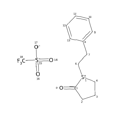 O=C1CCC[S+]1CCc1ccccc1.O=S(=O)([O-])C(F)(F)F